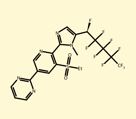 CCS(=O)(=O)c1cc(-c2ncccn2)cnc1-c1ncc([C@@H](F)C(F)(F)C(F)(F)C(F)(F)C(F)(F)F)n1C